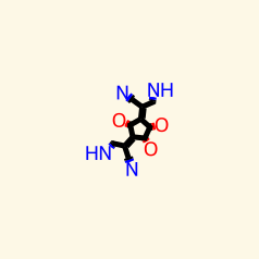 N#C/C(C=N)=c1\c(=O)c(=O)/c(=C(/C#N)C=N)c1=O